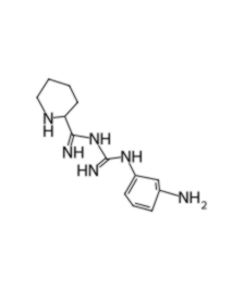 N=C(NC(=N)C1CCCCN1)Nc1cccc(N)c1